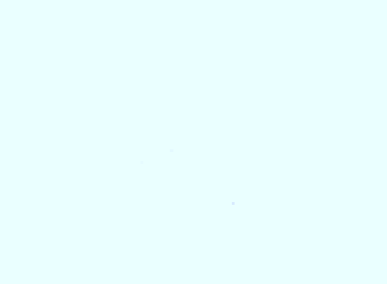 CCC1(C)c2ccc(-c3nc(-c4cccc(-c5ccccc5)c4)nc(-c4ccc5c(c4)C(C)(C)c4ccccc4-5)n3)cc2-c2ccc3oc4ccccc4c3c21